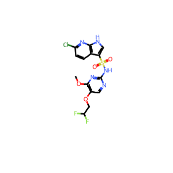 COc1nc(NS(=O)(=O)c2c[nH]c3nc(Cl)ccc23)ncc1OCC(F)F